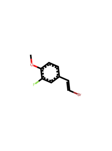 COc1ccc(/C=C/Br)cc1F